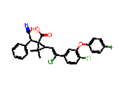 CC1(C)C(C=C(Cl)c2ccc(Cl)c(Oc3ccc(F)cc3)c2)C1(C(=O)O)C(C#N)c1ccccc1